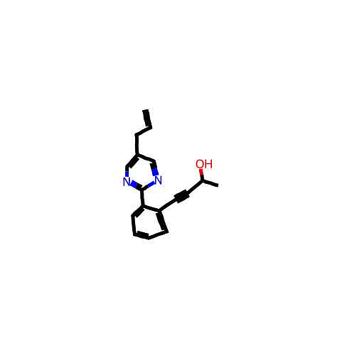 C=CCc1cnc(-c2ccccc2C#CC(C)O)nc1